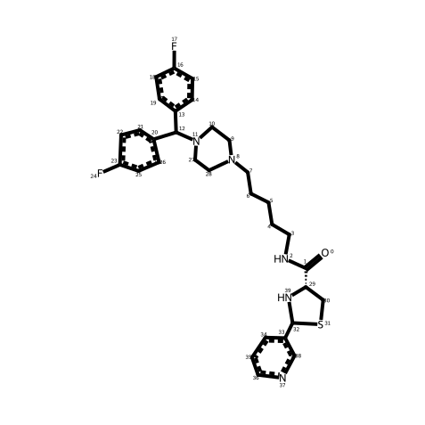 O=C(NCCCCCN1CCN(C(c2ccc(F)cc2)c2ccc(F)cc2)CC1)[C@@H]1CSC(c2cccnc2)N1